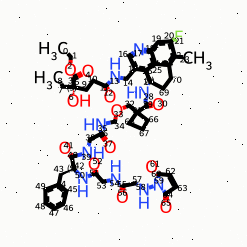 CCOC(=O)[C@](O)(CC)CCC(=O)NCc1cnc2cc(F)c(C)c3c2c1[C@@H](NC(=O)C1(COCNC(=O)CNC(=O)[C@H](Cc2ccccc2)NC(=O)CNC(=O)CNN2C(=O)C=CC2=O)CCC1)CC3